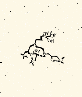 C[N+](C)(C)CC(O)CN(CCC[Si](O)(O)O)CCN(CC(O)C[N+](C)(C)C)CC(O)C[N+](C)(C)C